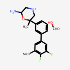 COc1cc(-c2cccc(C3(C)CNCC(N)O3)c2)cc(F)c1F.O=CO